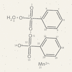 O.O=S(=O)([O-])c1ccccc1.O=S(=O)([O-])c1ccccc1.[Mn+2]